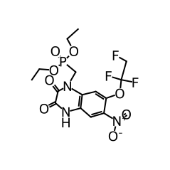 CCOP(=O)(Cn1c(=O)c(=O)[nH]c2cc([N+](=O)[O-])c(OC(F)(F)CF)cc21)OCC